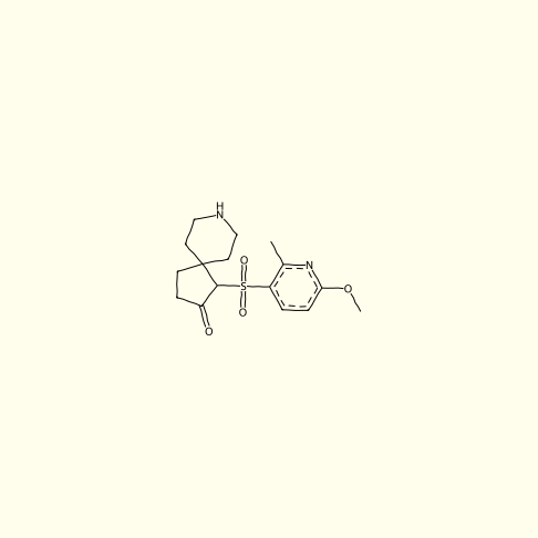 COc1ccc(S(=O)(=O)C2C(=O)CCC23CCNCC3)c(C)n1